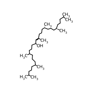 C/C(=C\C(O)CCCC(C)CCCC(C)CCCC(C)C)CCC[C@H](C)CCC[C@H](C)CCCC(C)C